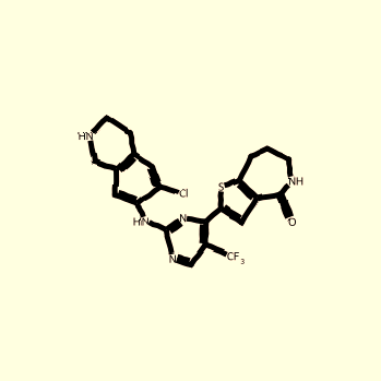 O=C1NCCCc2sc(-c3nc(Nc4cc5c(cc4Cl)CCNC5)ncc3C(F)(F)F)cc21